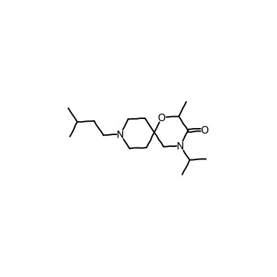 CC(C)CCN1CCC2(CC1)CN(C(C)C)C(=O)C(C)O2